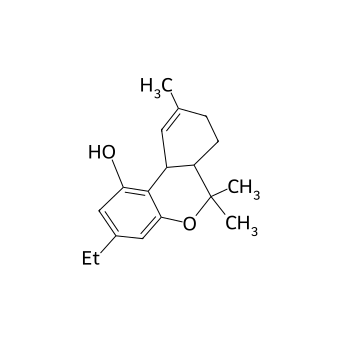 CCc1cc(O)c2c(c1)OC(C)(C)C1CCC(C)=CC21